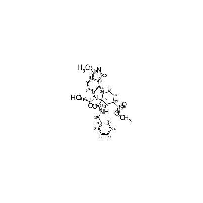 C#CC(=O)N(c1ccc2c(cnn2C)c1)C1(C(=O)NCc2ccccc2)CCCC(C(=O)OC)C1